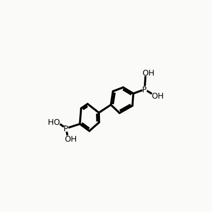 OP(O)c1ccc(-c2ccc(P(O)O)cc2)cc1